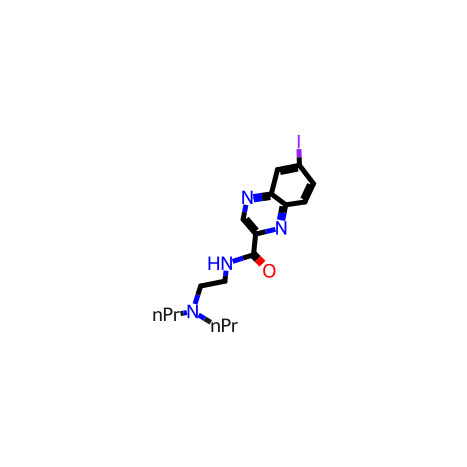 CCCN(CCC)CCNC(=O)c1cnc2cc(I)ccc2n1